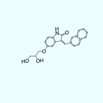 O=C1Nc2ccc(OCC(O)CO)cc2C1=Cc1ccc2ccccc2c1